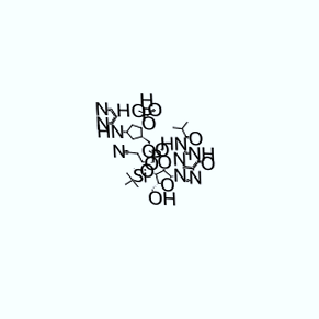 CC(C)C(=O)Nc1nc2c(ncn2[C@@H]2O[C@H](CO)C(O[Si](C)(C)C(C)(C)C)[C@H]2OP(=O)(OCCC#N)OC[C@H]2C[C@@H](Nc3ccncn3)C[C@@H]2O[PH](=O)O)c(=O)[nH]1